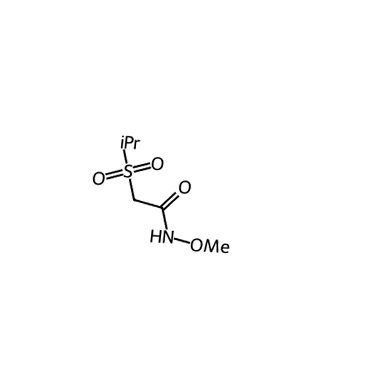 CONC(=O)CS(=O)(=O)C(C)C